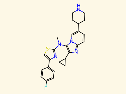 CN(c1nc(-c2ccc(F)cc2)cs1)c1c(C2CC2)nc2ccc(C3CCNCC3)cn12